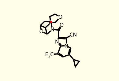 N#Cc1c(C(=O)N2CCC3OC2C3N2CCOC2)nc2c(C(F)(F)F)cc(C3CC3)cn12